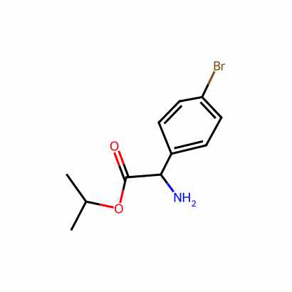 CC(C)OC(=O)C(N)c1ccc(Br)cc1